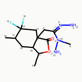 CC1OC(=O)C2(C/C(=N/N)N(C)N)CC(F)(F)C(C)CC12